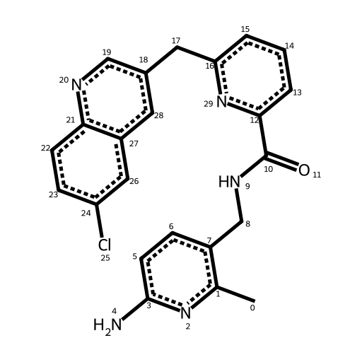 Cc1nc(N)ccc1CNC(=O)c1cccc(Cc2cnc3ccc(Cl)cc3c2)n1